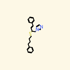 C(=CC(Cn1ccnc1)SCCCCc1ccccc1)c1ccccc1